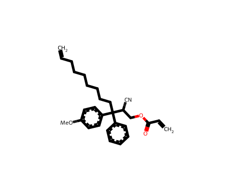 C=CCCCCCCCC(c1ccccc1)(c1ccc(OC)cc1)C(C#N)COC(=O)C=C